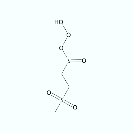 CS(=O)(=O)CCS(=O)OOO